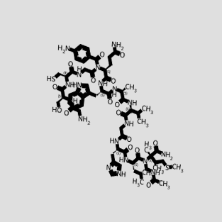 CSC[C@@H](C)[C@@](C)(C(N)=O)N(CNC(C)=O)C(=O)[C@H](CC(C)C)NC(=O)[C@H](Cc1c[nH]cn1)NC(=O)CNC(=O)[C@@H](NC(=O)[C@H](C)NC(=O)[C@H](Cc1c[nH]c2ccccc12)NC(=O)[C@H](CCC(N)=O)N(C(=O)CNC(=O)[C@H](CS)NC(=O)[C@H](CO)NC(=O)CN)C(=O)c1ccc(N)cc1)C(C)C